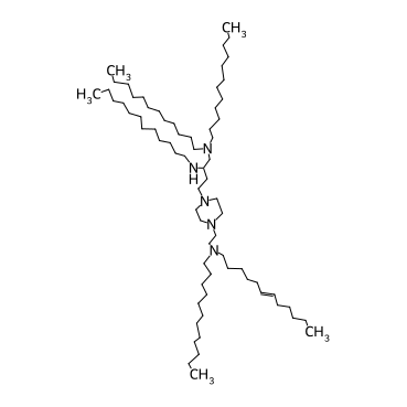 CCCCCC=CCCCCCN(CCCCCCCCCCCC)CCN1CCN(CCC(CN(CCCCCCCCCCCC)CCCCCCCCCCCC)NCCCCCCCCCCCC)CC1